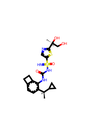 C[C@@H](c1ccc2c(c1NC(=O)NS(=N)(=O)c1cnc([C@@](C)(O)CO)s1)CC2)C1CC1